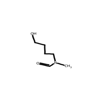 CN(C=O)CCCCO